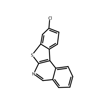 Clc1ccc2c(c1)sc1ncc3ccccc3c12